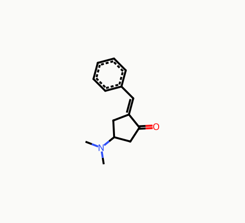 CN(C)C1CC(=O)C(=Cc2ccccc2)C1